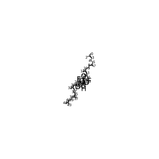 CC(C)=CCCC(C)=CCCC(C)=CC(=O)CC(F)(F)O[PH](=O)OC(F)(F)CC(=O)C=C(C)CCC=C(C)CCC=C(C)C